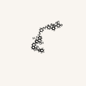 Cc1c(OCCC2CCN(CCCC3CCN(c4cccc5c(C6CCC(=O)NC6=O)nn(C)c45)CC3)CC2)cccc1-c1ccc(N2CCc3cccc(C(=O)Nc4nc5ccccc5s4)c3C2)nc1C(=O)O